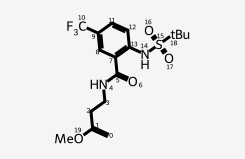 C=C(CCNC(=O)c1cc(C(F)(F)F)ccc1NS(=O)(=O)C(C)(C)C)OC